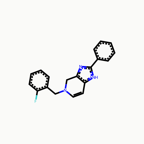 Fc1ccccc1CN1C=Cc2[nH]c(-c3ccccc3)nc2C1